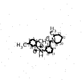 Cc1ccc(C)c(S(=O)(=O)Nc2cccc(C(=O)N3CCCC[C@H]3C)c2)c1